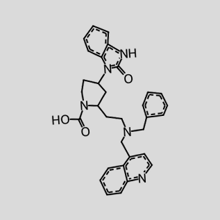 O=C(O)N1CCC(n2c(=O)[nH]c3ccccc32)CC1CCN(Cc1ccccc1)Cc1ccnc2ccccc12